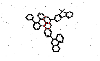 CC1(C)c2ccccc2-c2ccc(-c3cccc(N(c4ccc(-c5cc6ccccc6c6ccccc56)cc4)c4cccc(-c5ccccc5)c4-c4ccccc4-c4ccccc4)c3)cc21